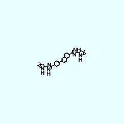 CC12CC(c3nc(-c4ccc(-c5ccc6cc(-c7c[nH]c(C8CC9(C)CC9N8)n7)ccc6c5)cc4)c[nH]3)NC1C2